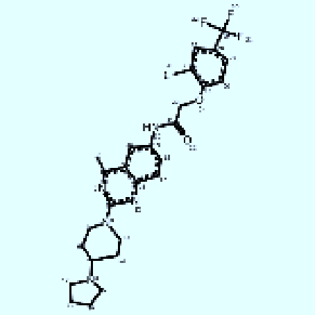 Cc1nc(N2CCC(N3CCCC3)CC2)nc2ccc(NC(=O)COc3ccc(C(F)(F)F)cc3Cl)cc12